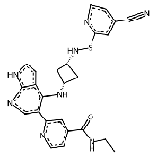 CCNC(=O)c1ccnc(-c2cnc3[nH]ccc3c2N[C@H]2C[C@@H](NSc3cc(C#N)ccn3)C2)c1